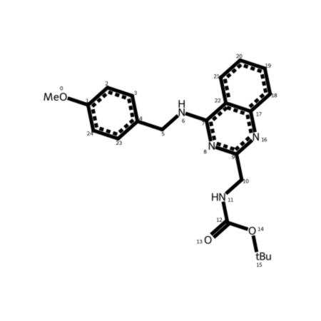 COc1ccc(CNc2nc(CNC(=O)OC(C)(C)C)nc3ccccc23)cc1